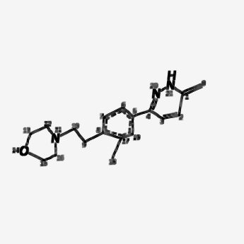 C=C1C=CC(c2ccc(CCN3CCOCC3)c(C)c2)=NN1